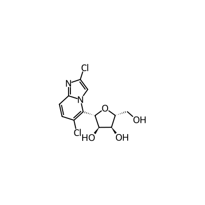 OC[C@H]1O[C@@H](c2c(Cl)ccc3nc(Cl)cn23)[C@H](O)[C@@H]1O